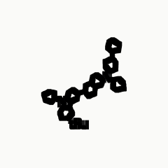 CC(C)(C)c1ccc2c(c1)c1cc(-c3ccc4cc(N(c5ccccc5)c5ccc(-c6ccccc6)cc5)ccc4c3)ccc1n2-c1ccccc1